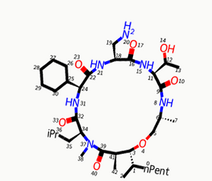 CCCCCC(C)[C@H]1OC[C@@H](C)NC(=O)[C@H](C(C)O)NC(=O)[C@H](CN)NC(=O)[C@H](C2CCCCC2)NC(=O)[C@H](CC(C)C)N(C)C(=O)[C@@H]1C